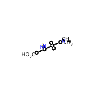 CN(C)c1ccc(C#Cc2c3ccccc3c(C#Cc3ccc(C#Cc4ccc(C(=O)O)cc4)c4nsnc34)c3ccccc23)cc1